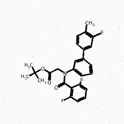 Cc1ccc(-c2cccc(N(CC(=O)OC(C)(C)C)C(=O)c3c(F)cccc3F)c2)cc1F